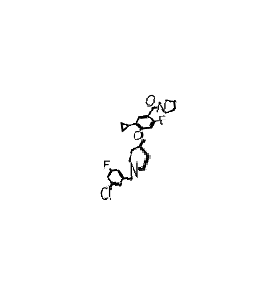 O=C(c1cc(C2CC2)c(OCC2CCN(Cc3cc(F)cc(Cl)c3)CC2)cc1F)N1CCCC1